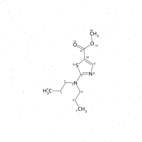 CCCN(CCC)c1ncc(C(=O)OC)s1